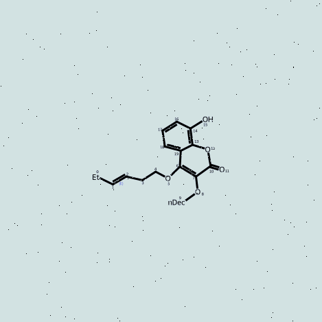 CC/C=C/CCOc1c(OCCCCCCCCCC)c(=O)oc2c(O)cccc12